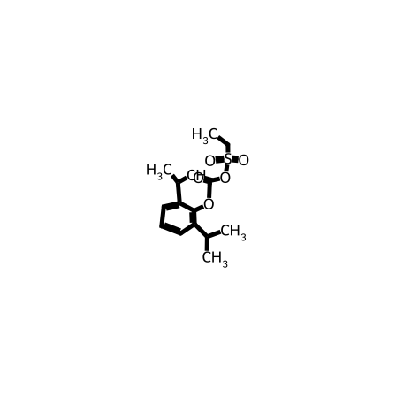 CCS(=O)(=O)OC(=O)Oc1c(C(C)C)cccc1C(C)C